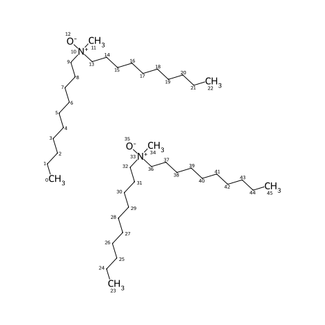 CCCCCCCCCC[N+](C)([O-])CCCCCCCCCC.CCCCCCCCCC[N+](C)([O-])CCCCCCCCCC